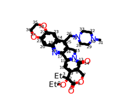 CCOC1(CC)C(=O)OCc2c1cc1n(c2=O)Cc2c-1nc1cc3c(cc1c2CN1CCN(C)CC1)OCCO3